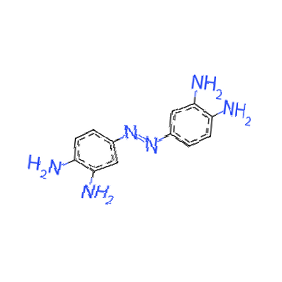 Nc1ccc(N=Nc2ccc(N)c(N)c2)cc1N